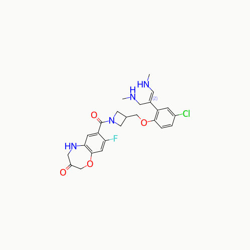 CN/C=C(\CNC)c1cc(Cl)ccc1OCC1CN(C(=O)c2cc3c(cc2F)OCC(=O)CN3)C1